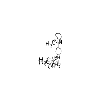 Cn1c(C2=CCCC(BOC(C)(C)C(C)(C)O)C=C2)nc2ccccc21